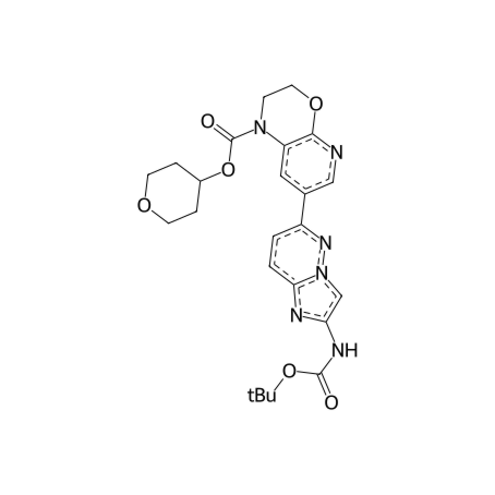 CC(C)(C)OC(=O)Nc1cn2nc(-c3cnc4c(c3)N(C(=O)OC3CCOCC3)CCO4)ccc2n1